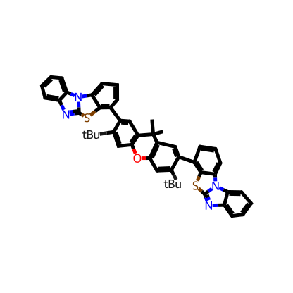 CC(C)(C)c1cc2c(cc1-c1cccc3c1sc1nc4ccccc4n13)C(C)(C)c1cc(-c3cccc4c3sc3nc5ccccc5n34)c(C(C)(C)C)cc1O2